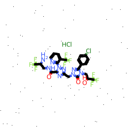 Cl.NC(CNC(=O)c1nc(Cn2nc(-c3ccc(Cl)cc3)n(CC(O)C(F)(F)F)c2=O)nn1-c1ncccc1C(F)(F)F)C(F)(F)F